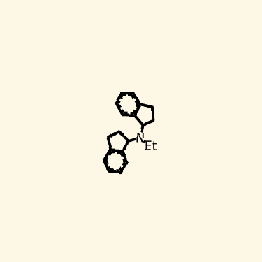 CCN(C1CCc2ccccc21)C1CCc2ccccc21